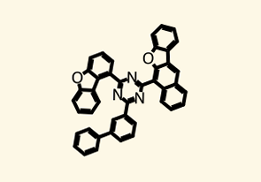 c1ccc(-c2cccc(-c3nc(-c4c5ccccc5cc5c4oc4ccccc45)nc(-c4cccc5oc6ccccc6c45)n3)c2)cc1